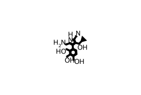 N#Cc1[nH]c(CN)c(-c2ccc(CO)c(CO)c2CO)c1C(O)C1CC1